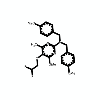 COc1ccc(CN(Cc2ccc(OC)cc2)c2nc(C)c(OCC(F)F)c(OC)n2)cc1